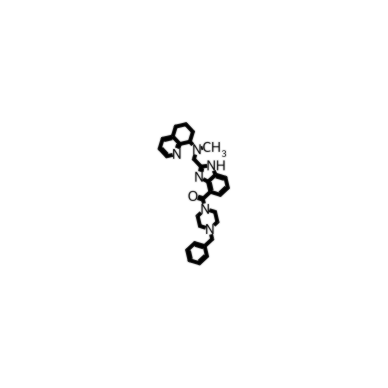 CN(Cc1nc2c(C(=O)N3CCN(Cc4ccccc4)CC3)cccc2[nH]1)C1CCCc2cccnc21